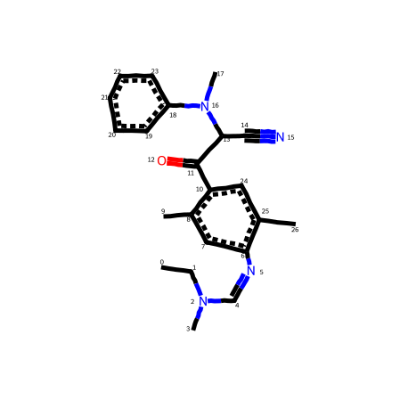 CCN(C)/C=N\c1cc(C)c(C(=O)C(C#N)N(C)c2ccccc2)cc1C